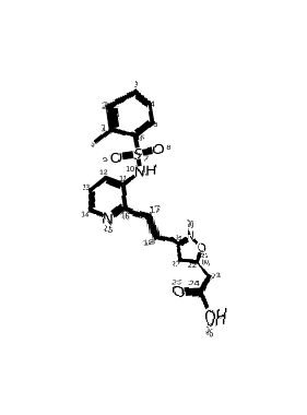 Cc1ccccc1S(=O)(=O)Nc1cccnc1CCC1=NO[C@@H](CC(=O)O)C1